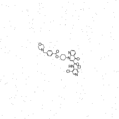 O=C(O[C@H]1CC[C@H](n2cc(C(=O)Nc3c(Cl)cncc3Cl)c(=O)c3cccnc32)CC1)c1ccc(CN2CCOCC2)cc1